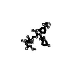 COc1cc(S(C)(=O)=O)ccc1N(C(=O)OCOC(=O)C(C)(NC(=O)OC(C)(C)C)C(C)C)c1nc2ccc(Cl)cn2n1